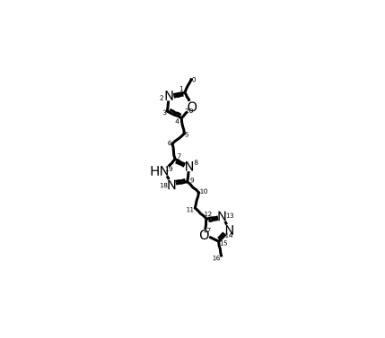 Cc1ncc(CCc2nc(CCc3nnc(C)o3)n[nH]2)o1